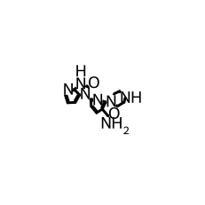 NC(=O)c1ccc(-n2c(=O)[nH]c3ncccc32)nc1N1CCNCC1